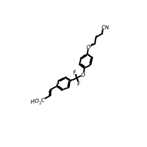 N#CCCCOc1ccc(OC(F)(F)c2ccc(/C=C/C(=O)O)cc2)cc1